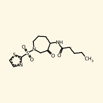 CCC[CH]C(=O)NC1CCCN(S(=O)(=O)c2nccs2)CC1=O